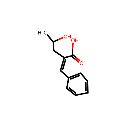 CC(O)CC(=Cc1ccccc1)C(=O)O